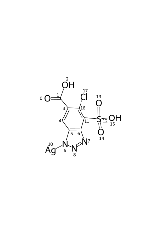 O=C(O)c1cc2c(nn[n]2[Ag])c(S(=O)(=O)O)c1Cl